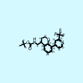 CC(C)(C)OC(=O)NCC1CCOc2c(-c3ccnc(C(F)(F)F)c3)cccc21